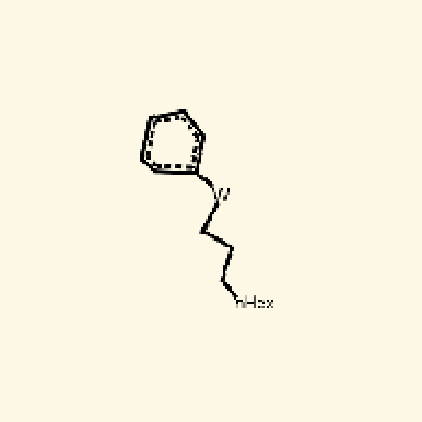 CCCCCCCC[CH2][W][c]1ccccc1